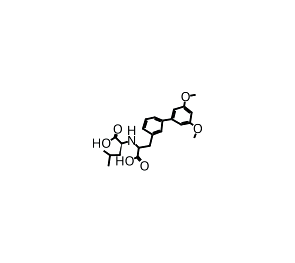 COc1cc(OC)cc(-c2cccc(CC(N[C@@H](CC(C)C)C(=O)O)C(=O)O)c2)c1